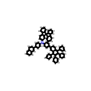 c1ccc(-c2c(-c3ccccc3)c(-c3ccccc3)c3cc(-c4ccc(N(c5ccc(-c6ccc7ccccc7c6)cc5)c5ccc6c(c5)C(c5ccccc5)(c5ccccc5)c5ccccc5-6)cc4)ccc3c2-c2ccccc2)cc1